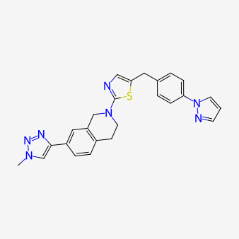 Cn1cc(-c2ccc3c(c2)CN(c2ncc(Cc4ccc(-n5cccn5)cc4)s2)CC3)nn1